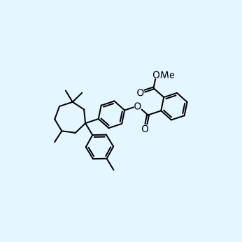 COC(=O)c1ccccc1C(=O)Oc1ccc(C2(c3ccc(C)cc3)CC(C)CCC(C)(C)C2)cc1